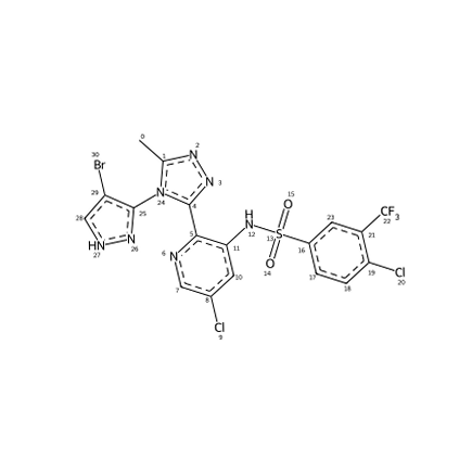 Cc1nnc(-c2ncc(Cl)cc2NS(=O)(=O)c2ccc(Cl)c(C(F)(F)F)c2)n1-c1n[nH]cc1Br